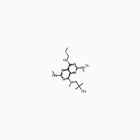 CCCNc1nc(NC)nc2c(N(C)CC(C)(C)O)nc(NC)nc12.Cl